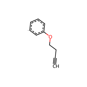 C#CCCOc1c[c]ccc1